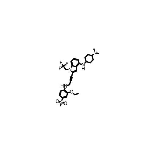 CCOc1cc(S(C)(=O)=O)ccc1NCC#Cc1cc2c(NC3CCC(N(C)C)CC3)cccc2n1CC(F)(F)F